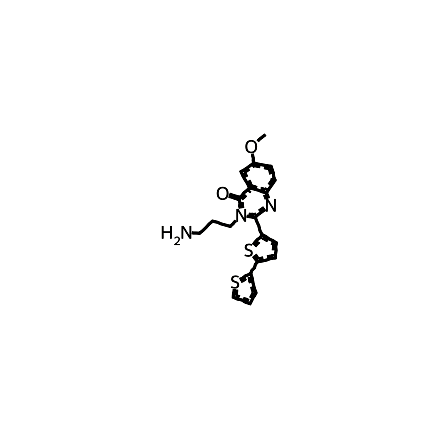 COc1ccc2nc(-c3ccc(-c4cccs4)s3)n(CCCN)c(=O)c2c1